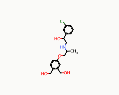 CC(COc1ccc(CO)c(CO)c1)NCC(O)c1cccc(Cl)c1